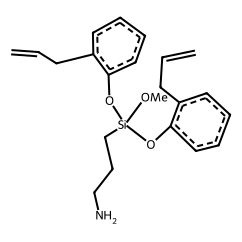 C=CCc1ccccc1O[Si](CCCN)(OC)Oc1ccccc1CC=C